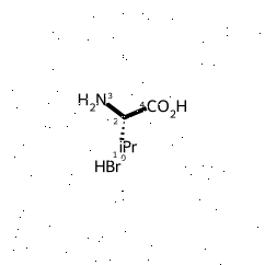 Br.CC(C)[C@H](N)C(=O)O